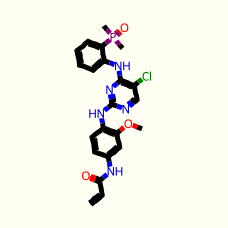 C=CC(=O)Nc1ccc(Nc2ncc(Cl)c(Nc3ccccc3P(C)(C)=O)n2)c(OC)c1